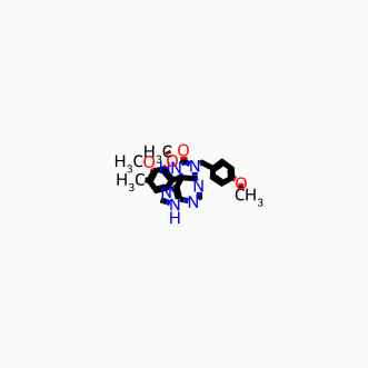 COc1ccc(CN2C(=O)NC3(c4ccc(C)c(OC)c4OC)C2=NC=Nc2[nH]cnc23)cc1